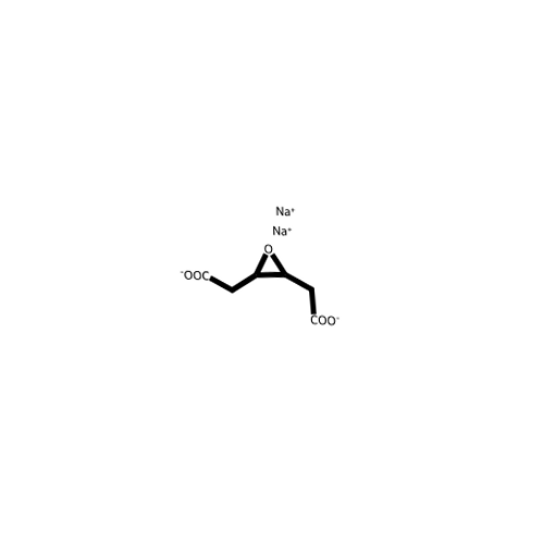 O=C([O-])CC1OC1CC(=O)[O-].[Na+].[Na+]